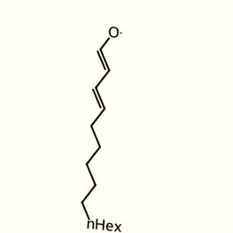 CCCCCCCCCCCC=CC=C[O]